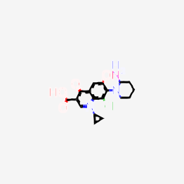 NC1CCCCN1c1c(O)cc2c(=O)c(C(=O)O)cn(C3CC3)c2c1Cl